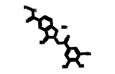 Br.CCNC(=O)c1ccc2c(n1)C(=N)N(CC(=O)c1cc(C(C)(C)C)c(O)c(C(C)(C)C)c1)C2